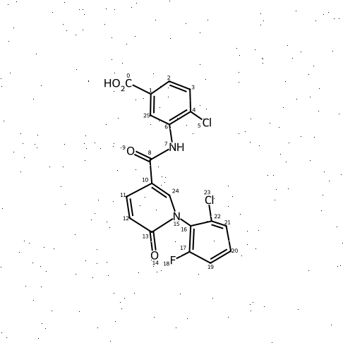 O=C(O)c1ccc(Cl)c(NC(=O)c2ccc(=O)n(-c3c(F)cccc3Cl)c2)c1